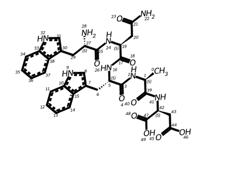 C[C@H](NC(=O)[C@H](Cc1c[nH]c2ccccc12)NC(=O)[C@H](CC(N)=O)NC(=O)[C@@H](N)Cc1c[nH]c2ccccc12)C(=O)N[C@@H](CC(=O)O)C(=O)O